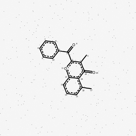 Cc1c(C(=O)c2ccccc2)oc2cccc(C)c2c1=O